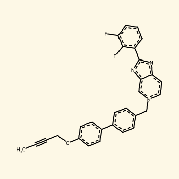 CC#CCOc1ccc(-c2ccc(Cn3ccc4nc(-c5cccc(F)c5F)nc-4c3)cc2)cc1